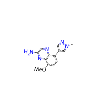 COc1ccc(-c2cnn(C)c2)c2ncc(N)nc12